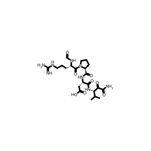 CC(C)[C@H](NC(=O)[C@H](CC(=O)O)NC(=O)[C@@H]1CCCN1C(=O)[C@H](CCCNC(=N)N)NC=O)C(=O)C(N)=O